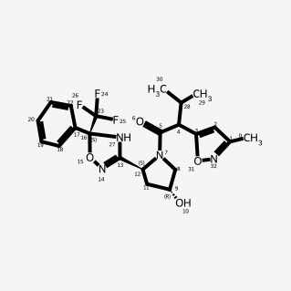 Cc1cc(C(C(=O)N2C[C@H](O)C[C@H]2C2=NO[C@@](c3ccccc3)(C(F)(F)F)N2)C(C)C)on1